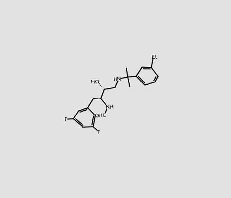 CCc1cccc(C(C)(C)NC[C@@H](O)[C@H](Cc2cc(F)cc(F)c2)NC=O)c1